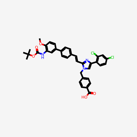 COc1ccc(-c2ccc(C=Cc3nc(-c4ccc(Cl)cc4Cl)cn3Cc3ccc(C(=O)O)cc3)cc2)cc1NC(=O)OC(C)(C)C